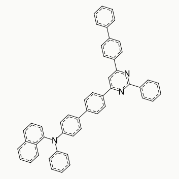 c1ccc(-c2ccc(-c3cc(-c4ccc(-c5ccc(N(c6ccccc6)c6cccc7ccccc67)cc5)cc4)nc(-c4ccccc4)n3)cc2)cc1